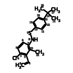 C=Cc1c(Cl)ccc(NSc2ccc(C(C)(C)C)cc2)c1C